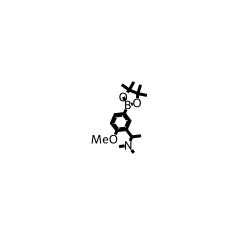 COc1ccc(B2OC(C)(C)C(C)(C)O2)cc1C(C)N(C)C